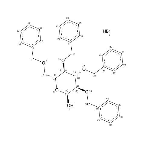 Br.O[C@H]1O[C@H](COCc2ccccc2)[C@@H](OCc2ccccc2)[C@H](OCc2ccccc2)[C@H]1OCc1ccccc1